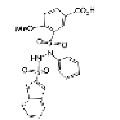 COc1ccc(C(=O)O)cc1S(=O)(=O)N(NS(=O)(=O)c1cc2ccccc2s1)c1ccccc1